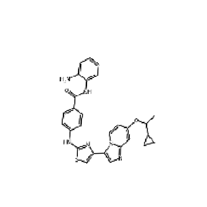 CC(Oc1ccn2c(-c3csc(Nc4ccc(C(=O)Nc5ccccc5N)cc4)n3)cnc2c1)C1CC1